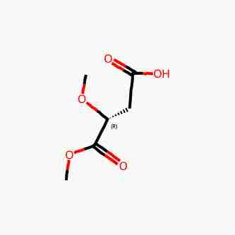 COC(=O)[C@@H](CC(=O)O)OC